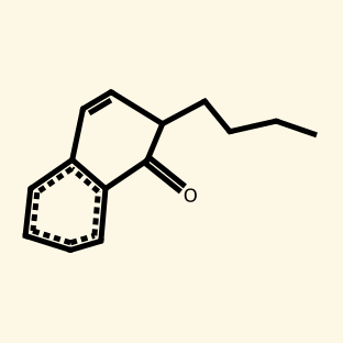 CCCCC1C=Cc2ccccc2C1=O